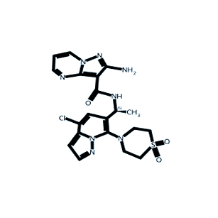 C[C@H](NC(=O)c1c(N)nn2cccnc12)c1cc(Cl)c2ccnn2c1N1CCS(=O)(=O)CC1